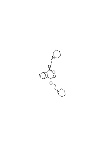 O=C(OCCN1CCCCC1)C1C2C=CC(C2)C1C(=O)OCCN1CCCCC1